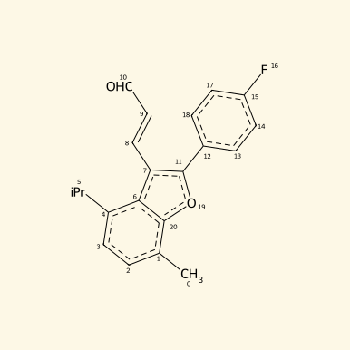 Cc1ccc(C(C)C)c2c(/C=C/C=O)c(-c3ccc(F)cc3)oc12